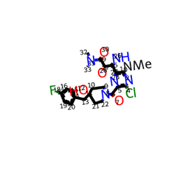 CNc1nc(Cl)c(C(=O)N2CCC(O)(Cc3ccc(F)cc3)CC2)nc1C(=N)C(=O)C(=O)N(C)C